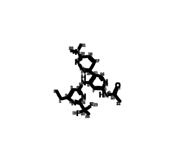 CCc1cc(Nc2cc(NC(C)=O)ncc2-c2ccc(N(C)C)nn2)nc(C(C)(F)F)n1